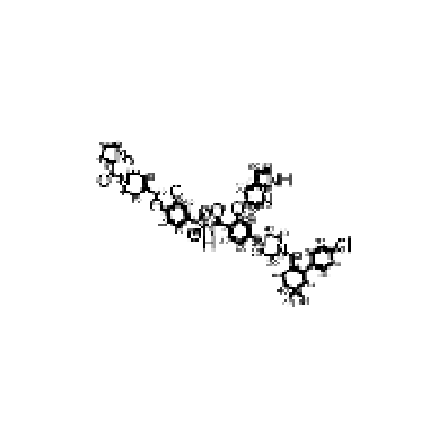 CN1CCC[C@@H]1C(=O)N1CCC(COc2ccc(S(=O)(=O)NC(=O)c3ccc(N4CCN(CC5=C(c6ccc(Cl)cc6)CC(C)(C)CC5)CC4)cc3Oc3cnc4[nH]ccc4c3)cc2Cl)CC1